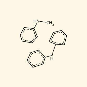 CNc1ccccc1.c1ccc(Pc2ccccc2)cc1